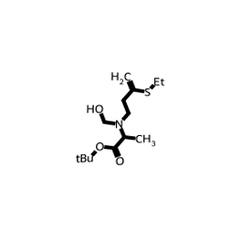 C=C(CCN(CO)C(C)C(=O)OC(C)(C)C)SCC